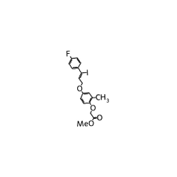 COC(=O)COc1ccc(OC/C=C(\I)c2ccc(F)cc2)cc1C